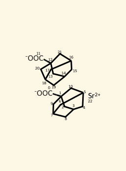 O=C([O-])C12CC3CC(CC(C3)C1)C2.O=C([O-])C12CC3CC(CC(C3)C1)C2.[Sr+2]